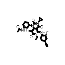 C#Cc1ccc(Nc2c3c(=O)n(C4CC4)c(=O)n(-c4cccc(NC(C)=O)c4)c3c(C)c(=O)n2CC)c(F)c1